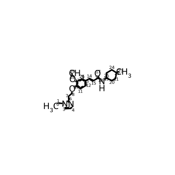 CCn1ccnc1CCOc1ccc(C=CC(=O)NC2CCC(C)CC2)cc1OC